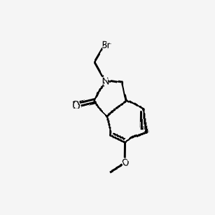 COC1=CC2C(=O)N(CBr)CC2C=C1